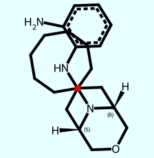 Nc1ccccc1NC1C[C@H]2COC[C@@H](C1)N2C1CCCCCCC1